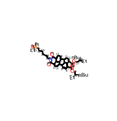 CCCCC(CC)COC(=O)c1ccc2c3ccc4c5c(ccc(c6ccc(C(=O)OCC(CC)CCCC)c1c26)c53)C(=O)N(CCCCCCP(=O)(CC)CC)C4=O